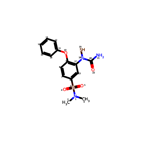 CN(C)S(=O)(=O)c1ccc(Oc2ccccc2)c(N(S)C(N)=O)c1